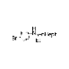 CCCCCCCC(CC)Nc1ccc(Br)cc1